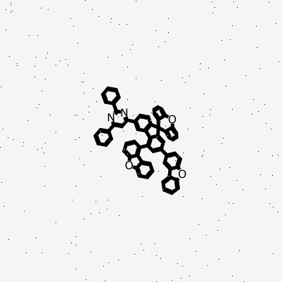 c1ccc(-c2cc(-c3ccc4c(c3)-c3c(-c5cccc6oc7ccccc7c56)cc(-c5ccc6oc7ccccc7c6c5)cc3C43c4ccccc4Oc4ccccc43)nc(-c3ccccc3)n2)cc1